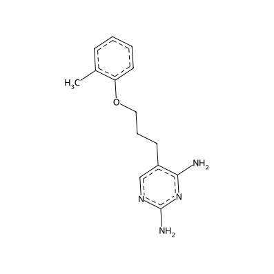 Cc1ccccc1OCCCc1cnc(N)nc1N